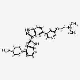 CN(C)CCOc1cncc(-c2cnc3[nH]nc(-c4nc5c(N6CCN(C)CC6)nccc5[nH]4)c3c2)c1